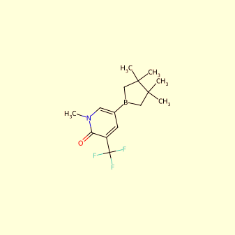 Cn1cc(B2CC(C)(C)C(C)(C)C2)cc(C(F)(F)F)c1=O